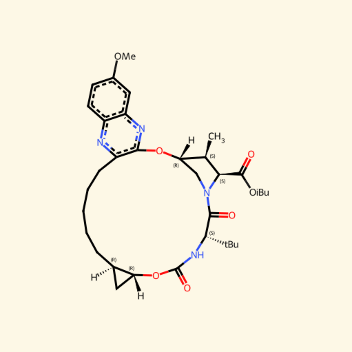 COc1ccc2nc3c(nc2c1)O[C@H]1CN(C(=O)[C@H](C(C)(C)C)NC(=O)O[C@@H]2C[C@H]2CCCCC3)[C@H](C(=O)OCC(C)C)[C@@H]1C